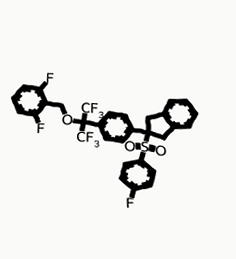 O=S(=O)(c1ccc(F)cc1)C1(c2ccc(C(OCc3c(F)cccc3F)(C(F)(F)F)C(F)(F)F)cc2)Cc2ccccc2C1